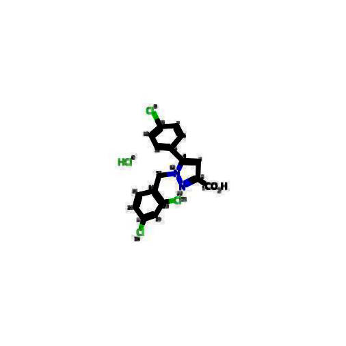 Cl.O=C(O)c1cc(-c2ccc(Cl)cc2)n(Cc2ccc(Cl)cc2Cl)n1